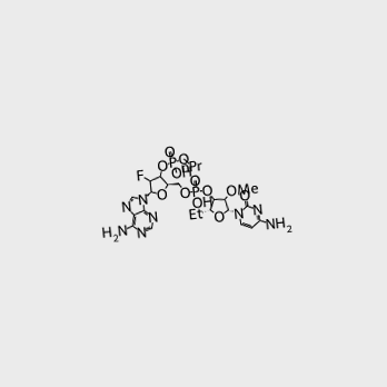 CCCOP(=O)(O)OC1C(F)[C@H](n2cnc3c(N)ncnc32)O[C@@H]1COP(=O)(O)OC1C(OC)[C@H](n2ccc(N)nc2=O)O[C@@H]1CC